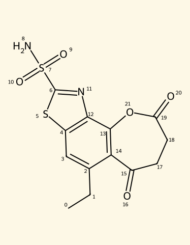 CCc1cc2sc(S(N)(=O)=O)nc2c2c1C(=O)CCC(=O)O2